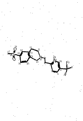 CC(F)(F)c1ccc(CCN2CCc3cc(S(C)(=O)=O)ccc3C2)nc1